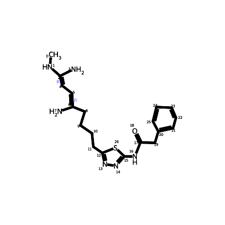 CN/C(N)=C/C=C(\N)CCCCc1nnc(NC(=O)Cc2ccccc2)s1